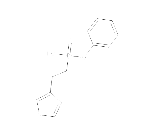 O=P(O)(CCc1ccsc1)Oc1ccccc1